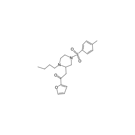 CCCCN1CCN(S(=O)(=O)c2ccc(C)cc2)CC1CC(=O)c1ccco1